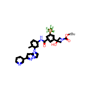 Cc1ccc(NC(=O)c2cc(C3(O)CN(C(=O)OC(C)(C)C)C3)cc(S(F)(F)(F)(F)F)c2)cc1-n1ccn2nc(-c3cccnc3)cc12